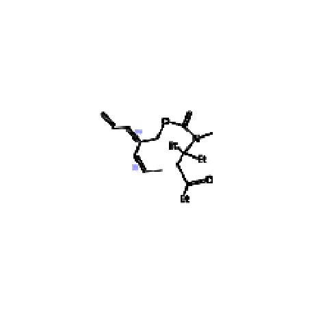 C=C/C=C(\C=C/C)COC(=C)N(C)C(CC)(CC)CC(=O)CC